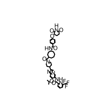 CC(C)Oc1cc2nc(C3CCN(C(=O)C4CCCCC(NC(=O)c5ccc(OC6CCC(=O)NC6=O)cc5)CC4)CC3)cn2cc1NC(=O)c1cccc(C(F)(F)F)n1